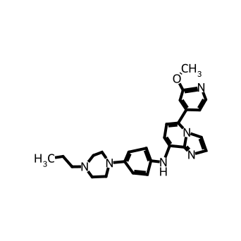 CCCN1CCN(c2ccc(Nc3ccc(-c4ccnc(OC)c4)n4ccnc34)cc2)CC1